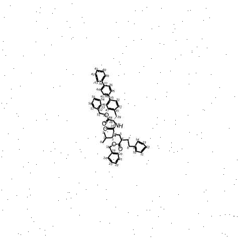 CC(C)CN(CC(CCc1ccccc1)C(=O)OCc1ccccc1)C(=O)N[C@@H](Cc1ccc(-c2ccc(-c3ccccc3)cc2)cc1)C(=O)OCc1ccccc1